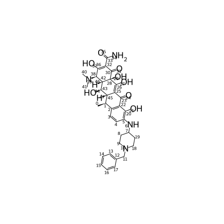 C[C@@H]1c2ccc(NC3CCN(Cc4ccccc4)CC3)c(O)c2C(=O)C2=C(O)[C@@]3(O)C(=O)C(C(N)=O)=C(O)[C@H](N(C)C)[C@H]3[C@H](O)[C@H]21